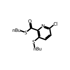 CCCCSC(=O)c1nc(Cl)ccc1SCCCC